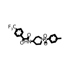 Cc1ccc(S(=O)(=O)N2CCC(NC(=O)C(=O)c3ccc(C(F)(F)F)cc3)CC2)cc1